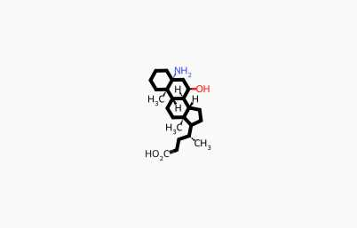 C[C@H](CCC(=O)O)C1CC[C@H]2[C@@H]3[C@H](O)C[C@]4(N)CCCC[C@]4(C)[C@H]3CC[C@]12C